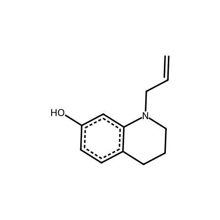 C=CCN1CCCc2ccc(O)cc21